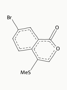 CSc1coc(=O)c2cc(Br)ccc12